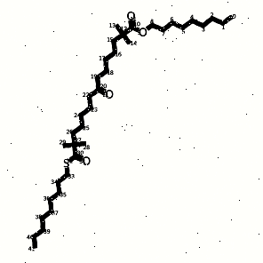 CCCCCCCCCOC(=O)C(C)(C)CCCCCC(=O)CCCCCC(C)(C)C(=O)SCCCCCCCCC